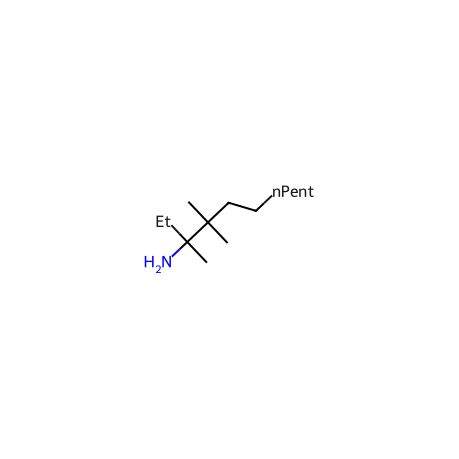 CCCCCCCC(C)(C)C(C)(N)CC